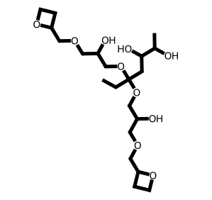 CCC(CC(O)C(C)O)(OCC(O)COCC1CCO1)OCC(O)COCC1CCO1